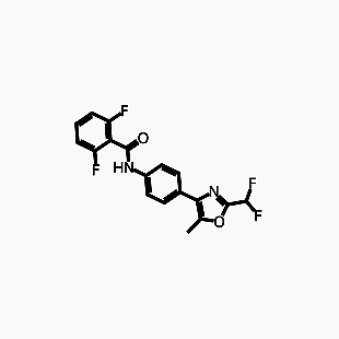 Cc1oc(C(F)F)nc1-c1ccc(NC(=O)c2c(F)cccc2F)cc1